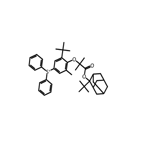 Cc1cc([S+](c2ccccc2)c2ccccc2)cc(C(C)(C)C)c1OC(C)(C)C(=O)OC1(C(C)(C)C)C2CC3CC(C2)CC1C3